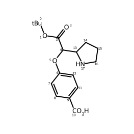 CC(C)(C)OC(=O)C(Oc1ccc(C(=O)O)cc1)C1CCCN1